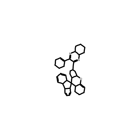 C1=CC2C3C=CC=CC3C3(C4CCCC=C4OC4CC(C5=NC6CCCCC6N=C5C5=CCCCC5)CCC43)C2C=C1